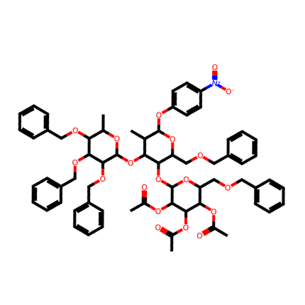 CC(=O)OC1C(COCc2ccccc2)OC(OC2C(COCc3ccccc3)OC(Oc3ccc([N+](=O)[O-])cc3)C(C)C2OC2OC(C)C(OCc3ccccc3)C(OCc3ccccc3)C2OCc2ccccc2)C(OC(C)=O)C1OC(C)=O